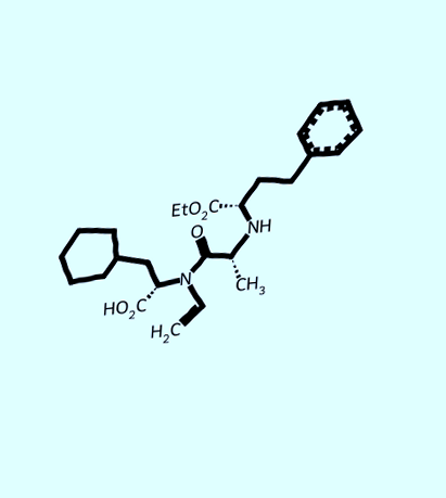 C=CN(C(=O)[C@@H](C)N[C@@H](CCc1ccccc1)C(=O)OCC)[C@@H](CC1CCCCC1)C(=O)O